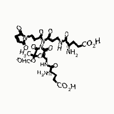 CC(C)(O[C]=O)C(=O)N(C(=O)CCNC(=O)[C@@H](N)CCC(=O)O)N(C(=O)CCNC(=O)[C@@H](N)CCC(=O)O)C(=O)CCN1C(=O)C=CC1=O